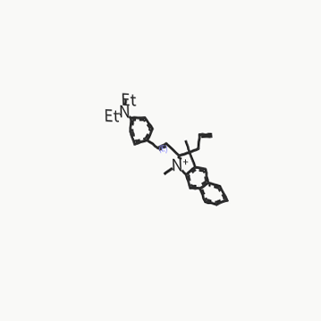 C=CCC1(C)C(/C=C/c2ccc(N(CC)CC)cc2)=[N+](C)c2cc3ccccc3cc21